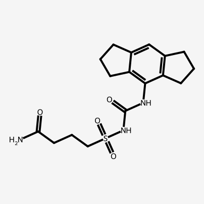 NC(=O)CCCS(=O)(=O)NC(=O)Nc1c2c(cc3c1CCC3)CCC2